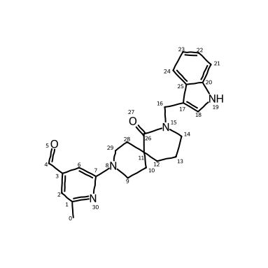 Cc1cc(C=O)cc(N2CCC3(CCCN(Cc4c[nH]c5ccccc45)C3=O)CC2)n1